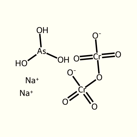 O[As](O)O.[Na+].[Na+].[O]=[Cr](=[O])([O-])[O][Cr](=[O])(=[O])[O-]